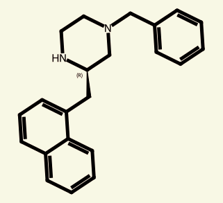 c1ccc(CN2CCN[C@H](Cc3cccc4ccccc34)C2)cc1